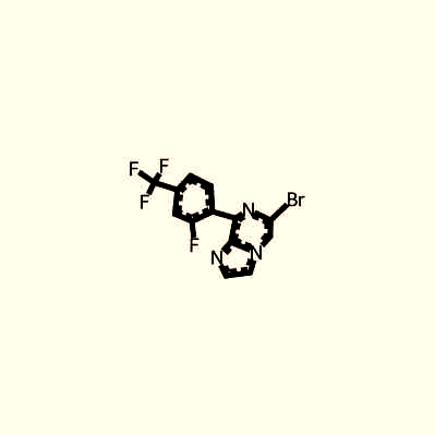 Fc1cc(C(F)(F)F)ccc1-c1nc(Br)cn2ccnc12